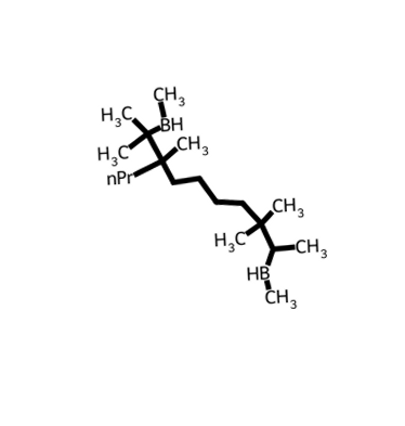 CBC(C)C(C)(C)CCCCC(C)(CCC)C(C)(C)BC